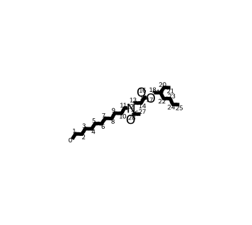 CCCCCCCCCCCCN(CCC(=O)OCC(CC)CCCC)C(C)=O